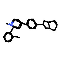 Cc1ccccc1-c1cc(-c2ccc(C3CC4CCCC4C3)cc2)cc[n+]1C